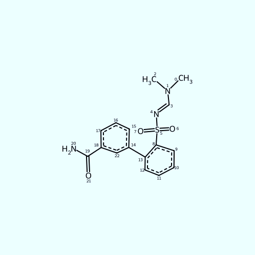 CN(C)C=NS(=O)(=O)c1ccccc1-c1cccc(C(N)=O)c1